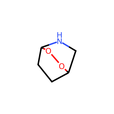 C1CC2NCC1OO2